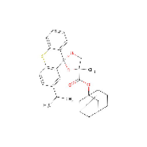 CC(C)c1ccc2c(c1)[C@@]1(OCC(C)(C(=O)OC34CC5CC(CC(C5)C3)C4)O1)c1ccccc1S2